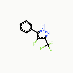 Fc1c(C(F)(F)F)n[nH]c1-c1ccccc1